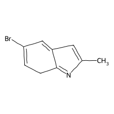 CC1=CC2=CC(Br)=CCC2=N1